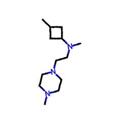 CC1CC(N(C)CCN2CCN(C)CC2)C1